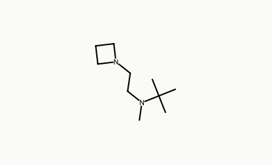 CN(CCN1CCC1)C(C)(C)C